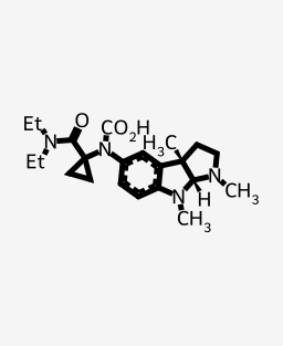 CCN(CC)C(=O)C1(N(C(=O)O)c2ccc3c(c2)[C@]2(C)CCN(C)[C@@H]2N3C)CC1